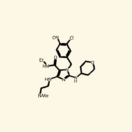 CCNC(=O)c1c(NCCNC)nc(NC2CCOCC2)n1Cc1ccc(N=O)c(Cl)c1